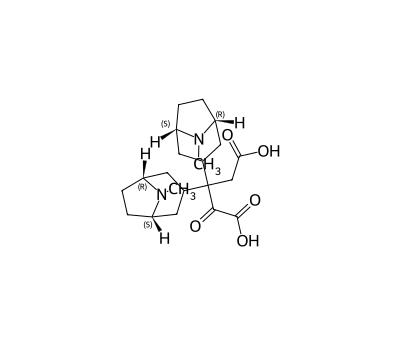 CN1[C@@H]2CC[C@H]1CC(C(CC(=O)O)(C(=O)C(=O)O)C1C[C@H]3CC[C@@H](C1)N3C)C2